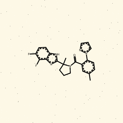 Cc1ccc(-n2cccn2)c(C(=O)N2CCCC2(C)c2nc3c(F)c(F)ccc3[nH]2)c1